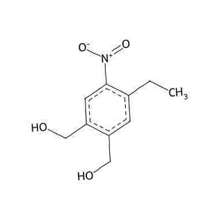 CCc1cc(CO)c(CO)cc1[N+](=O)[O-]